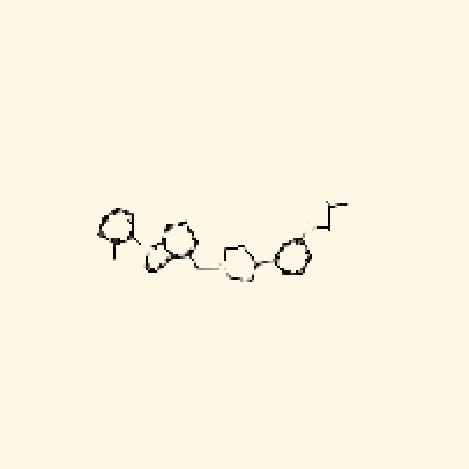 CC(C)C(=O)Nc1cccc(C2CCN(Cc3cccc4c3ccn4-c3ccccc3Cl)CC2)c1